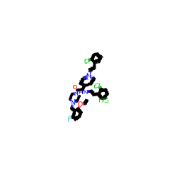 CCOc1cccc(F)c1CN1CCN(C(=O)[C@H](NCCc2ccccc2Cl)C2CCN(CCc3ccccc3Cl)CC2)CC1.Cl